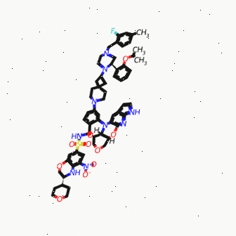 Cc1ccc(CN2CCN(C3CC4(CCN(c5ccc(C(=O)NS(=O)(=O)c6cc7c(c([N+](=O)[O-])c6)N[C@H](C6CCOCC6)CO7)c(N6c7cc8cc[nH]c8nc7O[C@H]7COCC[C@@H]76)c5)CC4)C3)[C@H](c3ccccc3OC(C)C)C2)c(F)c1